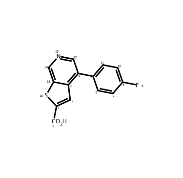 O=C(O)c1cc2c(-c3ccc(F)cc3)cncc2s1